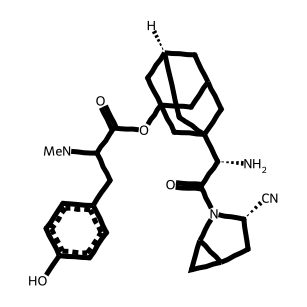 CNC(Cc1ccc(O)cc1)C(=O)OC12CC3C[C@H](C1)CC([C@H](N)C(=O)N1C4CC4C[C@H]1C#N)(C3)C2